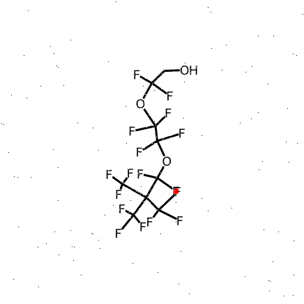 OCC(F)(F)OC(F)(F)C(F)(F)OC(F)(F)C(C(F)(F)F)(C(F)(F)F)C(F)(F)F